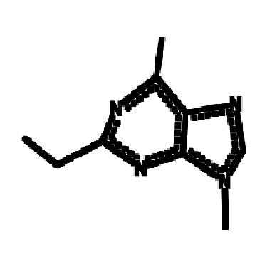 CCc1nc(C)c2ncn(C)c2n1